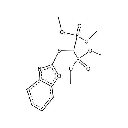 COP(=O)(OC)C(Sc1nc2ccccc2o1)P(=O)(OC)OC